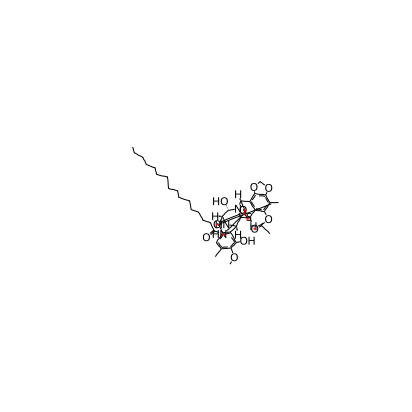 CCCCCCCCCCCCCCCC(=O)NC1CS[C@@H]2c3c(OC(C)=O)c(C)c4c(c3[C@H](COC1=O)N1C2[C@H]2N[C@H](Cc3cc(C)c(OC)c(O)c32)[C@@H]1O)OCO4